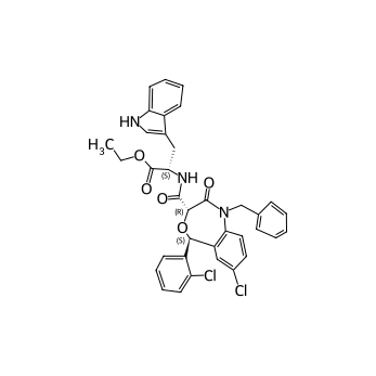 CCOC(=O)[C@H](Cc1c[nH]c2ccccc12)NC(=O)[C@H]1O[C@H](c2ccccc2Cl)c2cc(Cl)ccc2N(Cc2ccccc2)C1=O